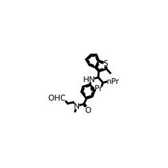 CCCC(CCC)C(Nc1ccc(C(=O)N(C)CCC=O)cc1)c1c(C)sc2ccccc12